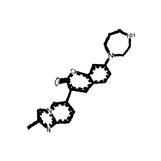 Cc1cn2cc(-c3cc4ccc(N5CCCNCC5)cc4oc3=O)ccc2n1